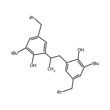 CC(C)Cc1cc(CC(C)c2cc(CC(C)C)cc(C(C)(C)C)c2O)c(O)c(C(C)(C)C)c1